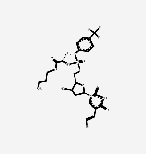 CCCCOC(=O)[C@H](C)NP(=O)(OC[C@H]1O[C@@H](n2cc(/C=C/Br)c(=O)[nH]c2=O)CC1O)Oc1ccc(C(F)(F)F)cc1